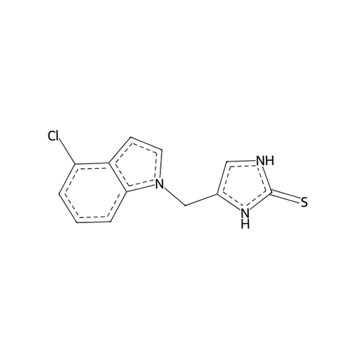 S=c1[nH]cc(Cn2ccc3c(Cl)cccc32)[nH]1